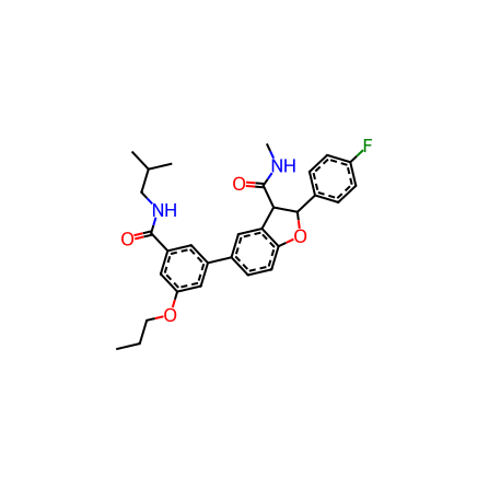 CCCOc1cc(C(=O)NCC(C)C)cc(-c2ccc3c(c2)C(C(=O)NC)C(c2ccc(F)cc2)O3)c1